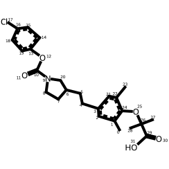 Cc1cc(CCC2CCN(C(=O)Oc3ccc(Cl)cc3)C2)cc(C)c1OC(C)(C)C(=O)O